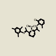 CC(=Nc1c(C)cc(C)cc1C)c1cccc(C(C)=Nc2c(C)cccc2Cl)[n+]1[Fe]([Cl])[Cl]